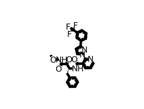 CONC(=O)C(=O)[C@@H](Cc1ccccc1)NC(=O)c1cccnc1-n1ccc(-c2cccc(C(F)(F)F)c2)n1